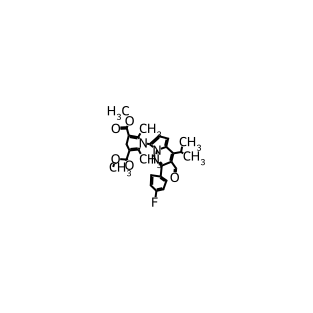 COC(=O)C1=C(C)N(c2ccc3c(C(C)C)c(C=O)c(-c4ccc(F)cc4)nn23)C(C)=C(C(=O)OC)C1